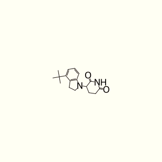 CC(C)(C)c1cccc2c1CCN2C1CCC(=O)NC1=O